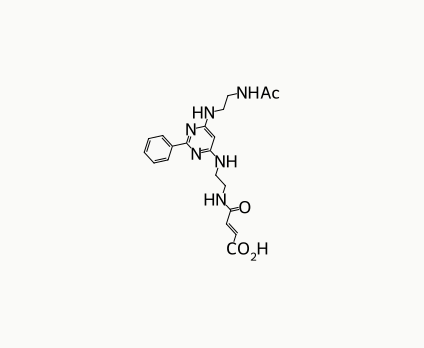 CC(=O)NCCNc1cc(NCCNC(=O)/C=C/C(=O)O)nc(-c2ccccc2)n1